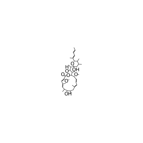 C/C=C/C=C(\C)C1OC(O)(C(C)C(O)C(C)C2OC(=O)/C(OC)=C/C(C)=C/C(C)C(O)C(C)C/C(C)=C/C=C/C2OC)CC(C)C1C